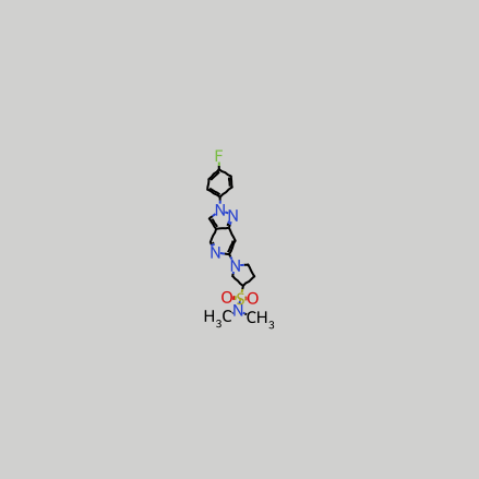 CN(C)S(=O)(=O)C1CCN(c2cc3nn(-c4ccc(F)cc4)cc3cn2)C1